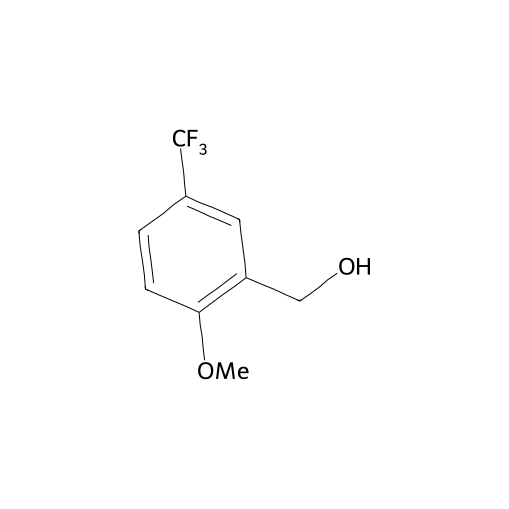 COc1ccc(C(F)(F)F)cc1CO